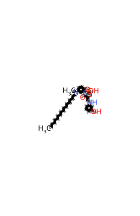 CCCCCCCCCCCCCCCCCCN(C)c1cccc(N(C(=O)CCNc2cccc(O)c2)S(=O)(=O)O)c1